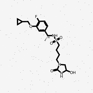 C[C@@H](NS(=O)(=O)CCCCN1CC(O)NC1=O)c1ccc(F)c(OCC2CC2)c1